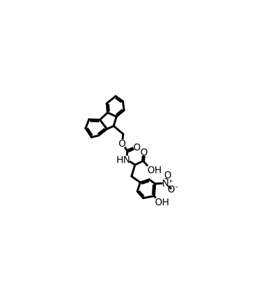 O=C(NC(Cc1ccc(O)c([N+](=O)[O-])c1)C(=O)O)OCC1c2ccccc2-c2ccccc21